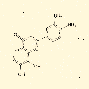 Nc1ccc(-c2cc(=O)c3ccc(O)c(O)c3o2)cc1N